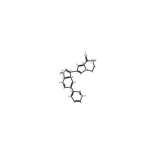 O=C1NCCn2cc(-c3c[nH]c4ncc(-c5cccnc5)cc34)cc21